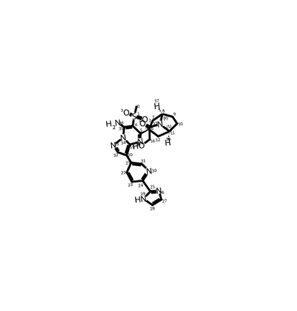 CS(=O)(=O)c1c([C@H]2C[C@H]3CC[C@@H](C2)N3C(=O)CO)nc2c(-c3ccc(-c4ncc[nH]4)nc3)cnn2c1N